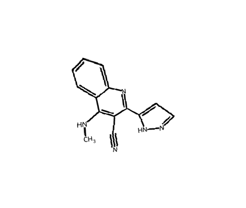 CNc1c(C#N)c(-c2ccn[nH]2)nc2ccccc12